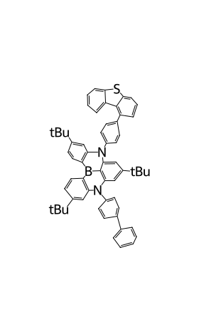 CC(C)(C)c1ccc2c(c1)N(c1ccc(-c3ccccc3)cc1)c1cc(C(C)(C)C)cc3c1B2c1ccc(C(C)(C)C)cc1N3c1ccc(-c2cccc3sc4ccccc4c23)cc1